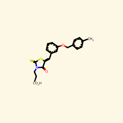 Cc1ccc(COc2cccc(/C=C3\SC(=S)N(CCC(=O)O)C3=O)c2)cc1